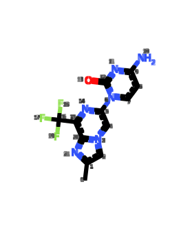 Cc1cn2cc(-n3ccc(N)nc3=O)nc(C(F)(F)F)c2n1